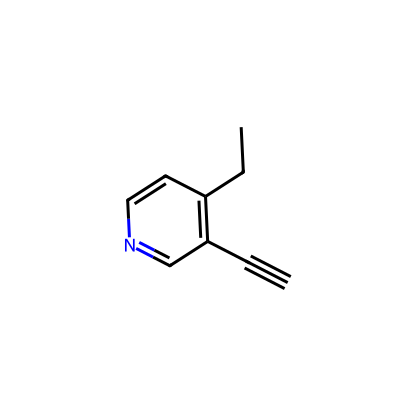 C#Cc1cnccc1CC